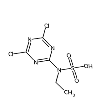 CCN(c1nc(Cl)nc(Cl)n1)S(=O)(=O)O